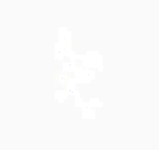 Cc1cnc(C2CC(C)(C)n3ncc(C(=O)N(C)CCN(C)C)c3N2)s1